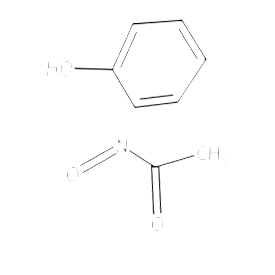 CC(=O)N=O.Oc1ccccc1